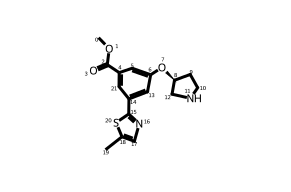 COC(=O)c1cc(O[C@H]2CCNC2)cc(-c2ncc(C)s2)c1